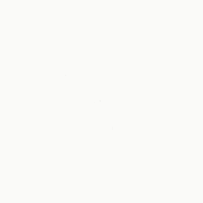 CCCCC(CC)COC(=O)CSC(C)OCC